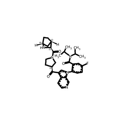 CC(C)N(C(=O)c1cc(F)ccc1-n1cc(C(=O)[C@H]2CCN(C(=O)[C@H]3N[C@@H]4CC[C@H]3C4)C2)c2ccncc21)C(C)C